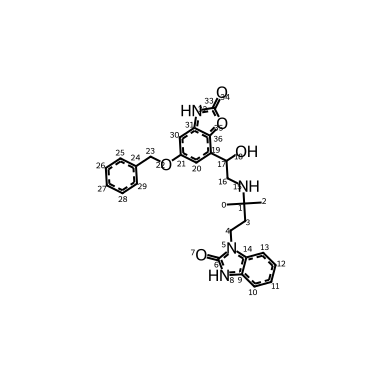 CC(C)(CCn1c(=O)[nH]c2ccccc21)NCC(O)c1cc(OCc2ccccc2)cc2[nH]c(=O)oc12